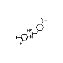 CC(C)[C@H]1CC[C@@H](CC(S)=Nc2ccc(F)c(F)c2)CC1